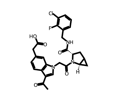 CC(=O)c1cn(CC(=O)N2[C@@H]3CC3C[C@H]2C(=O)NCc2cccc(Cl)c2F)c2cc(CC(=O)O)ccc12